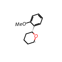 COc1ccccc1[C@H]1CCC[CH]O1